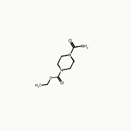 CCOC(=O)N1CCN(C(N)=O)CC1